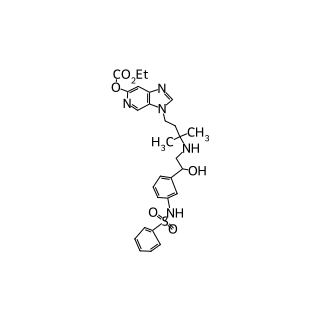 CCOC(=O)Oc1cc2ncn(CCC(C)(C)NCC(O)c3cccc(NS(=O)(=O)c4ccccc4)c3)c2cn1